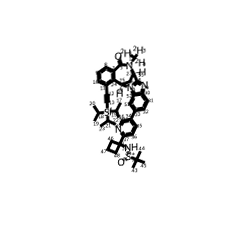 [2H]C([2H])([2H])N1C(=O)c2cccc(C#C[Si](C(C)C)(C(C)C)C(C)C)c2[C@H]2C[C@@H]1c1nc3ccc(-c4ccc(C5(N[S+]([O-])C(C)(C)C)CCC5)nc4)cc3n12